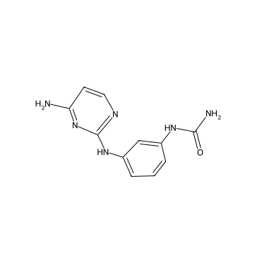 NC(=O)Nc1cccc(Nc2nccc(N)n2)c1